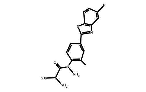 CCCCC(N)C(=O)N(N)c1ccc(-c2nc3cc(F)ccc3s2)cc1C